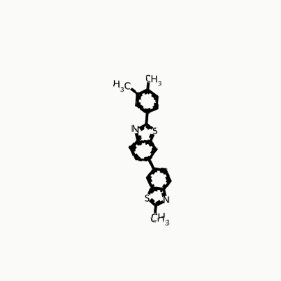 Cc1nc2ccc(-c3ccc4nc(-c5ccc(C)c(C)c5)sc4c3)cc2s1